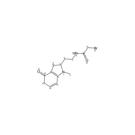 CN1C2=C(SC1CCNC(=O)CBr)C(=O)CC=C2